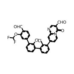 O=Cc1ccc(-c2cccc(-c3cccc(-c4ccn5c(=O)c(C=O)cnc5c4)c3Cl)c2Cl)cc1OC(F)F